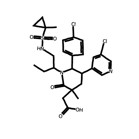 CCC(CNS(=O)(=O)C1(C)CC1)N1C(=O)C(C)(CC(=O)O)CC(c2cncc(Cl)c2)C1c1ccc(Cl)cc1